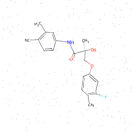 Cc1cc(NC(=O)[C@@](C)(O)COc2ccc(C#N)c(F)c2)ccc1C#N